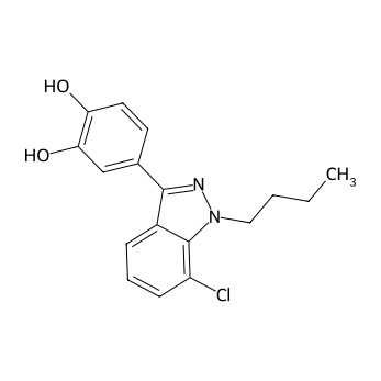 CCCCn1nc(-c2ccc(O)c(O)c2)c2cccc(Cl)c21